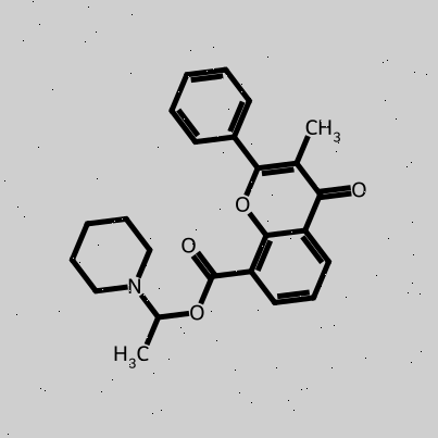 Cc1c(-c2ccccc2)oc2c(C(=O)OC(C)N3CCCCC3)cccc2c1=O